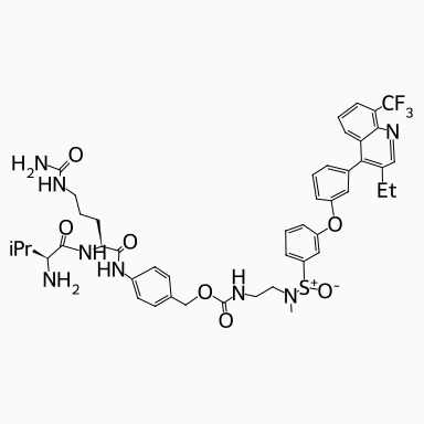 CCc1cnc2c(C(F)(F)F)cccc2c1-c1cccc(Oc2cccc([S+]([O-])N(C)CCNC(=O)OCc3ccc(NC(=O)[C@H](CCCNC(N)=O)NC(=O)[C@@H](N)C(C)C)cc3)c2)c1